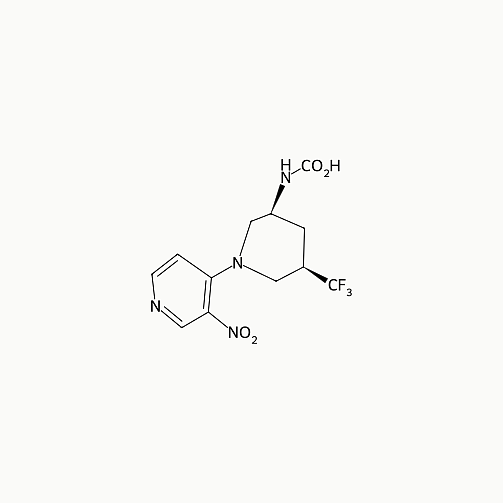 O=C(O)N[C@H]1C[C@@H](C(F)(F)F)CN(c2ccncc2[N+](=O)[O-])C1